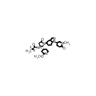 COc1cc([C@@H]2[C@@H](NC(=O)C(C)(F)F)CC(=O)N2c2ccc3c(cnn3-c3ccc(=O)n(C)c3)c2)ccn1